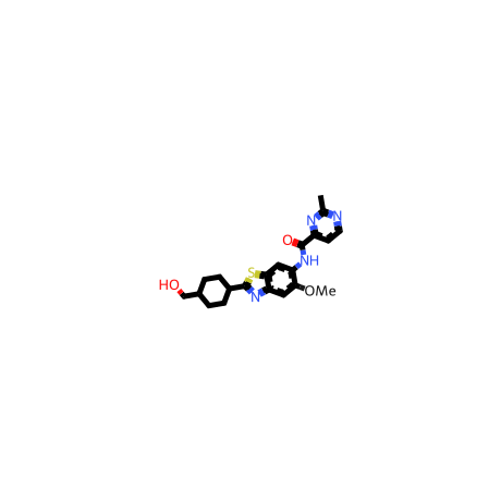 COc1cc2nc(C3CCC(CO)CC3)sc2cc1NC(=O)c1ccnc(C)n1